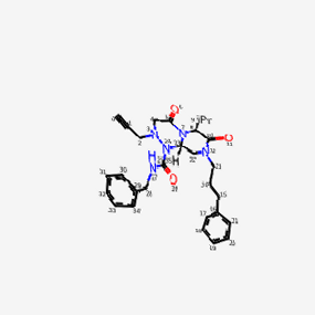 C#CCN1CC(=O)N2[C@@H](C(C)C)C(=O)N(CCCc3ccccc3)C[C@@H]2N1C(=O)NCc1ccccc1